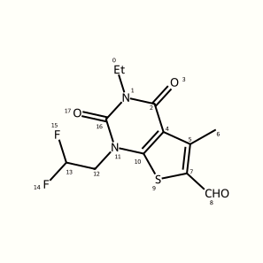 CCn1c(=O)c2c(C)c(C=O)sc2n(CC(F)F)c1=O